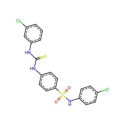 O=S(=O)(Nc1ccc(Cl)cc1)c1ccc(NC(=S)Nc2cccc(Cl)c2)cc1